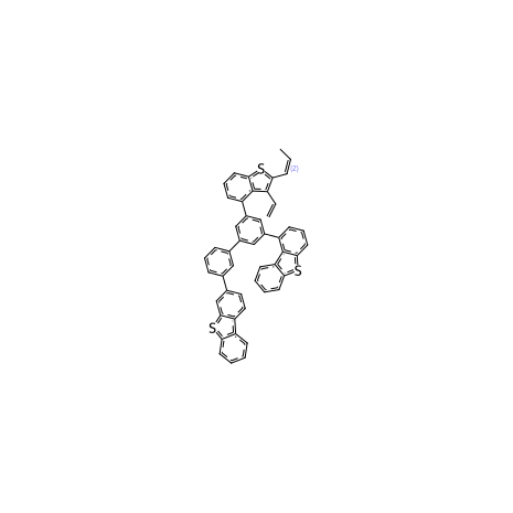 C=Cc1c(/C=C\C)sc2cccc(-c3cc(-c4cccc(-c5ccc6c(c5)sc5ccccc56)c4)cc(-c4cccc5sc6ccccc6c45)c3)c12